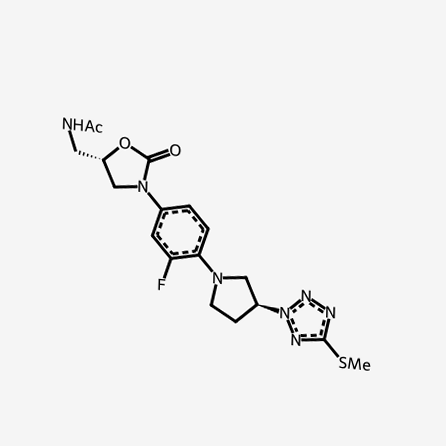 CSc1nnn([C@H]2CCN(c3ccc(N4C[C@H](CNC(C)=O)OC4=O)cc3F)C2)n1